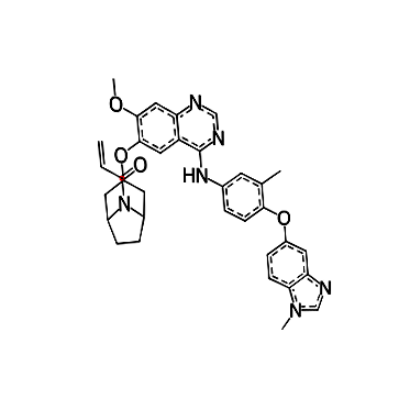 C=CC(=O)N1C2CCC1CC(Oc1cc3c(Nc4ccc(Oc5ccc6c(c5)ncn6C)c(C)c4)ncnc3cc1OC)C2